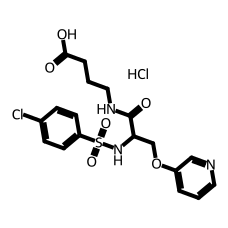 Cl.O=C(O)CCCNC(=O)C(COc1cccnc1)NS(=O)(=O)c1ccc(Cl)cc1